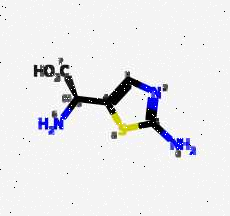 Nc1ncc([C@@H](N)C(=O)O)s1